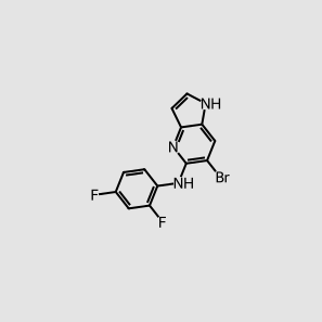 Fc1ccc(Nc2nc3cc[nH]c3cc2Br)c(F)c1